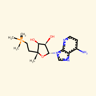 C=P(C)(C)CC[C@@]1(C)O[C@@H](n2cnc3c(N)ccnc32)[C@H](O)[C@@H]1O